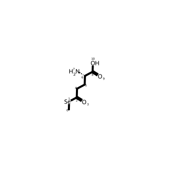 C[Se]C(=O)CC[C@H](N)C(=O)O